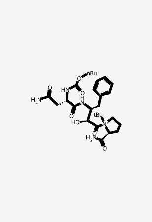 CCCCOC(=O)N[C@@H](CC(N)=O)C(=O)N[C@@H](Cc1ccccc1)[C@H](O)C(=O)[N+]1(C(C)(C)C)CCC[C@H]1C(N)=O